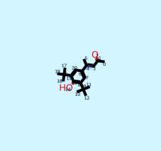 CC(=O)/C=C(\C)c1cc(C(C)(C)C)c(O)c(C(C)(C)C)c1